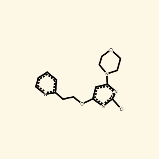 Clc1nc(OCCc2ccccn2)cc(N2CCOCC2)n1